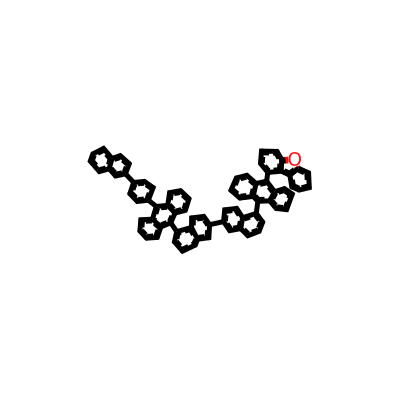 c1ccc2cc(-c3ccc(-c4c5ccccc5c(-c5cccc6cc(-c7ccc8c(-c9c%10ccccc%10c(-c%10cccc%11oc%12ccccc%12c%10%11)c%10ccccc9%10)cccc8c7)ccc56)c5ccccc45)cc3)ccc2c1